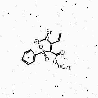 C=CC(=C(C(=O)OCCCCCCCC)S(=O)(=O)c1ccccc1)N(CC)CC